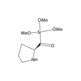 CO[Si](OC)(OC)C(=O)[C@@H]1CCCN1